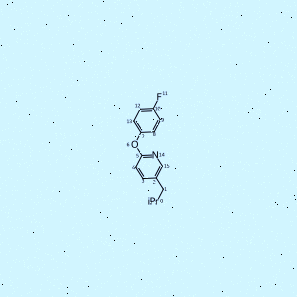 CC(C)Cc1ccc(Oc2ccc(F)cc2)nc1